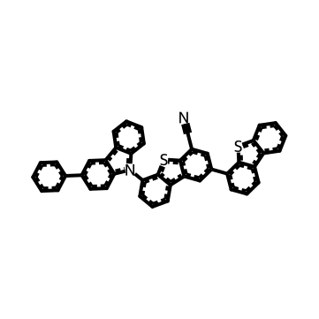 N#Cc1cc(-c2cccc3c2sc2ccccc23)cc2c1sc1c(-n3c4ccccc4c4cc(-c5ccccc5)ccc43)cccc12